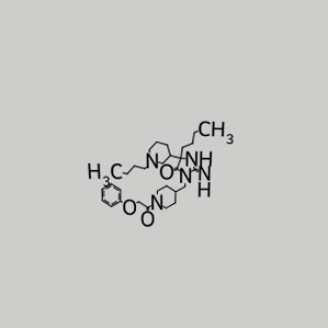 CCCCN1CCCC(C2(CCCC)NC(=N)N(CC3CCN(C(=O)COc4ccccc4)CC3)C2=O)C1